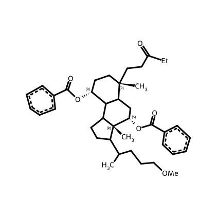 CCC(=O)CC[C@@]1(C)CC[C@@H](OC(=O)c2ccccc2)C2C1C[C@H](OC(=O)c1ccccc1)[C@]1(C)C(C(C)CCCOC)CCC21